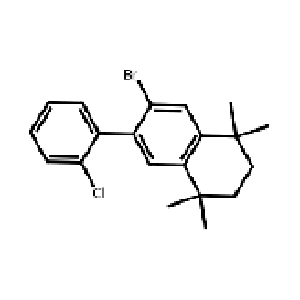 CC1(C)CCC(C)(C)c2cc(-c3ccccc3Cl)c(Br)cc21